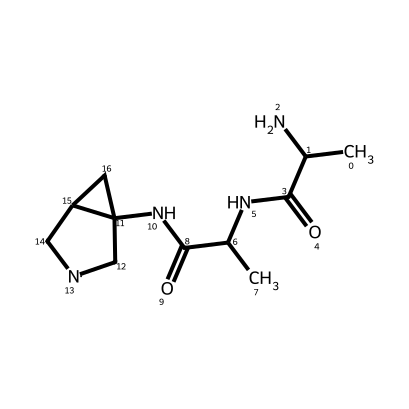 CC(N)C(=O)NC(C)C(=O)NC12C[N]CC1C2